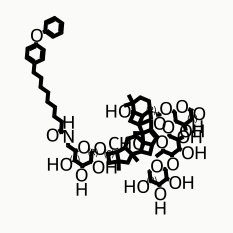 CC1OC(OC2C(OC(=O)[C@]34CCC(C)(C)C5(O)CC6(C3C3=CC7CC8C9(C)CC%10(C)C[C@H](O[C@@H]%11OC(CNC(=O)CCCCCCCCc%12ccc(Oc%13ccccc%13)cc%12)[C@@H](O)C(O)C%11O)C%10(C=O)C9CCC78C36C)C54)OC3O[C@@H]3C2O)C(O)C(O)C1OC1OC[C@@H](O)C(O)C1O